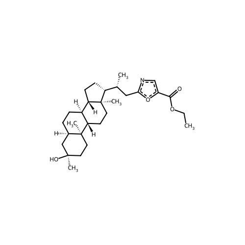 CCOC(=O)c1cnc(C[C@@H](C)[C@H]2CC[C@H]3[C@@H]4CC[C@@H]5C[C@](C)(O)CC[C@]5(C)[C@H]4CC[C@]23C)o1